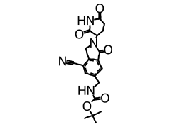 CC(C)(C)OC(=O)NCc1cc(C#N)c2c(c1)C(=O)N(C1CCC(=O)NC1=O)C2